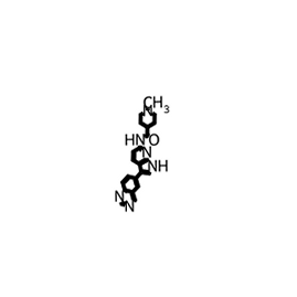 CN1CCC(C(=O)Nc2ccc3c(-c4ccc5ncncc5c4)c[nH]c3n2)CC1